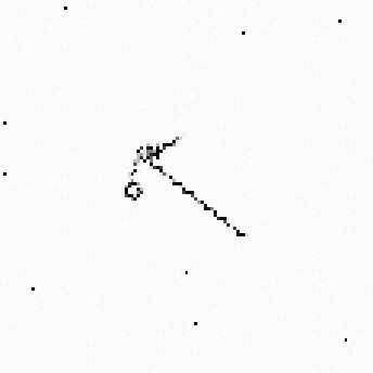 CCCCCCCCCCCCCCCCCCc1n(CCCCC)cc[n+]1CCCc1ccccc1